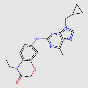 CCN1C(=O)COc2cc(Nc3nc(C)c4ncn(CC5CC5)c4n3)ccc21